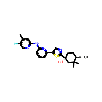 Cc1cc(Nc2cccc(-c3cnc([C@@]4(O)CC[C@@H](C(=O)O)C(C)(C)C4)s3)n2)ncc1F